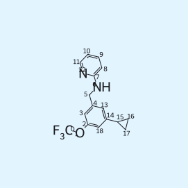 FC(F)(F)Oc1cc(CNc2cc[c]cn2)cc(C2CC2)c1